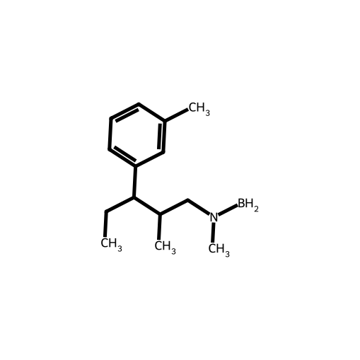 BN(C)CC(C)C(CC)c1cccc(C)c1